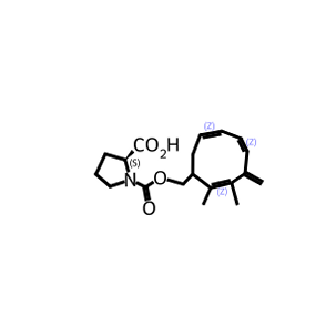 C=C1/C=C\C=C/CC(COC(=O)N2CCC[C@H]2C(=O)O)/C(C)=C\1C